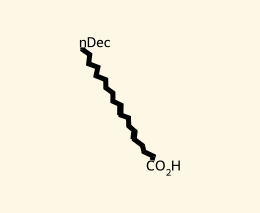 CCCCCCCCCCCCCCCCCCC/C=C/CC/C=C/CCCC(=O)O